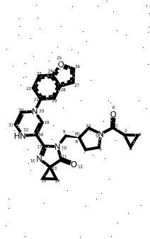 O=C(C1CC1)N1CC[C@@H](CN2C(=O)C3(CC3)N=C2C2=CN(c3ccc4occc4c3)C=CN2)C1